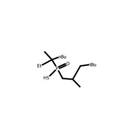 CCCCC(C)(CC)P(=O)(S)CC(C)CC(C)(C)C